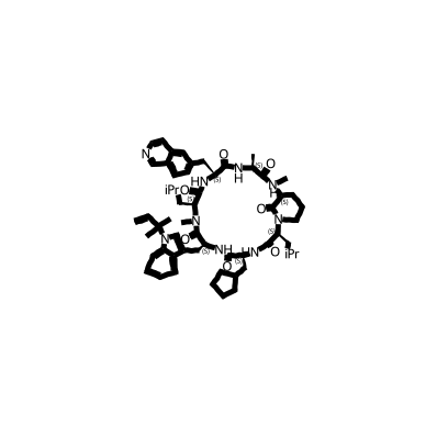 C=CC(C)(C)n1cc(C[C@@H]2NC(=O)[C@H](CC3CCCC3)NC(=O)[C@H](CC(C)C)N3CCC[C@@H](C3=O)N(C)C(=O)[C@H](C)NC(=O)[C@H](Cc3ccc4cnccc4c3)NC(=O)[C@H](CC(C)C)N(C)C2=O)c2ccccc21